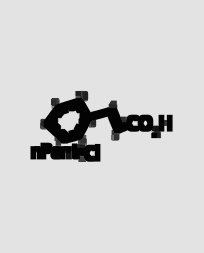 CCCCCCl.O=C(O)C=Cc1ccccc1